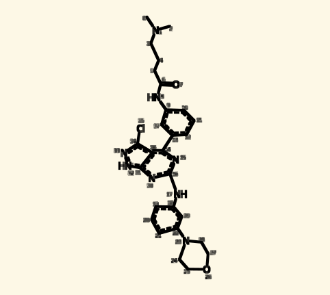 CN(C)CCCC(=O)Nc1cccc(-c2nc(Nc3cccc(N4CCOCC4)c3)nc3[nH]nc(Cl)c23)c1